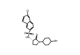 CC(C)C1CCC(N2CC[C@H](NS(=O)(=O)c3ccc4cc(Cl)ccc4c3)C2=O)CC1